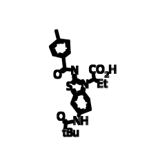 CCC(C(=O)O)n1c(=NC(=O)c2ccc(C)cc2)sc2cc(NC(=O)C(C)(C)C)ccc21